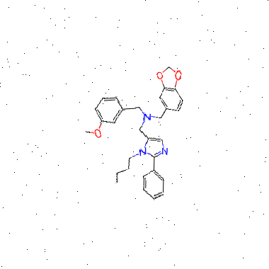 CCCCn1c(CN(Cc2cccc(OC)c2)Cc2ccc3c(c2)OCO3)cnc1-c1ccccc1